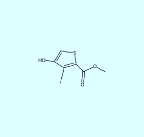 COC(=O)c1scc(O)c1C